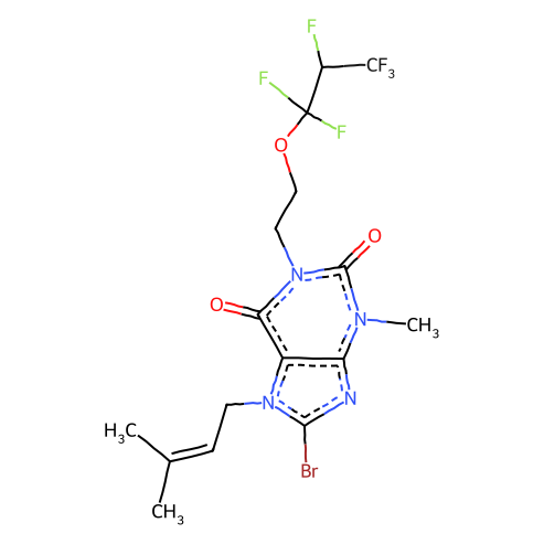 CC(C)=CCn1c(Br)nc2c1c(=O)n(CCOC(F)(F)C(F)C(F)(F)F)c(=O)n2C